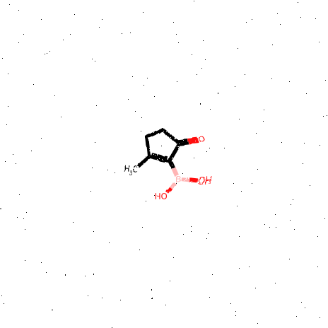 CC1=C(B(O)O)C(=O)CC1